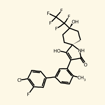 Cc1ccc(-c2ccc(Cl)c(F)c2)cc1C1=C(O)[C@]2(CC[C@@](O)(C(F)(F)C(F)(F)F)CC2)NC1=O